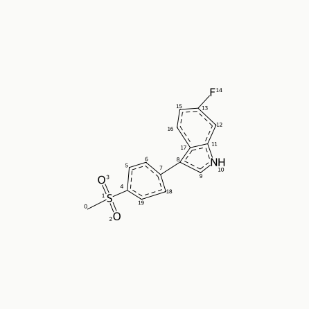 CS(=O)(=O)c1ccc(-c2c[nH]c3cc(F)ccc23)cc1